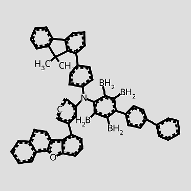 Bc1c(B)c(N(c2ccc(-c3cccc4c3C(C)(C)c3ccccc3-4)cc2)c2cccc(-c3cccc4oc5c6ccccc6ccc5c34)c2)c(B)c(B)c1-c1ccc(-c2ccccc2)cc1